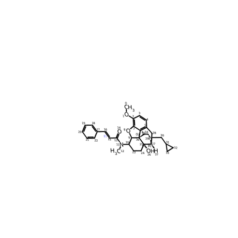 COc1ccc2c3c1OC1C(N(C)C(=O)/C=C/c4ccccc4)CC[C@@]4(O)[C@@H](C2)N(CC2CC2)CC[C@]314